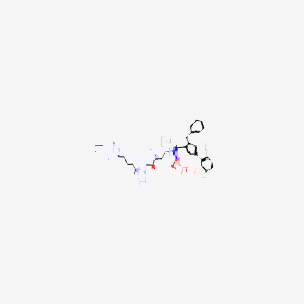 CC(CCCCN)NCC(=O)[C@@H](N)CCN(C(=O)CO)[C@@H](C1=CC(c2cc(F)ccc2F)=CC1Cc1ccccc1)C(C)(C)C